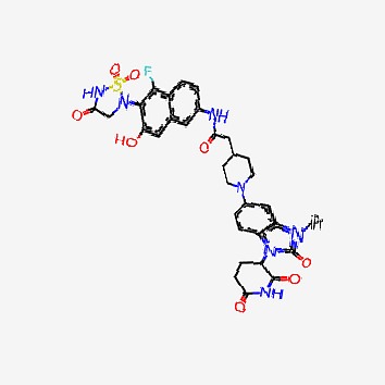 CC(C)n1c(=O)n(C2CCC(=O)NC2=O)c2ccc(N3CCC(CC(=O)Nc4ccc5c(F)c(N6CC(=O)NS6(=O)=O)c(O)cc5c4)CC3)cc21